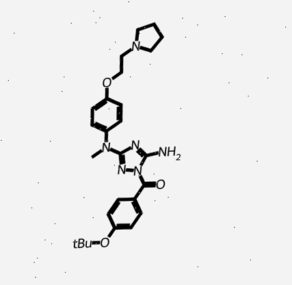 CN(c1ccc(OCCN2CCCC2)cc1)c1nc(N)n(C(=O)c2ccc(OC(C)(C)C)cc2)n1